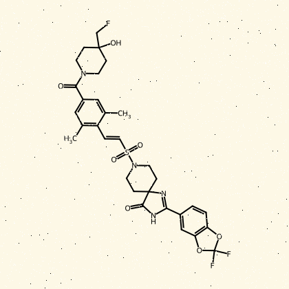 Cc1cc(C(=O)N2CCC(O)(CF)CC2)cc(C)c1C=CS(=O)(=O)N1CCC2(CC1)N=C(c1ccc3c(c1)OC(F)(F)O3)NC2=O